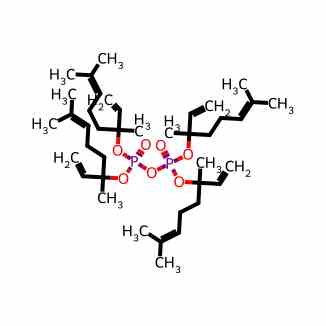 C=CC(C)(CCC=C(C)C)OP(=O)(OC(C)(C=C)CCC=C(C)C)OP(=O)(OC(C)(C=C)CCC=C(C)C)OC(C)(C=C)CCC=C(C)C